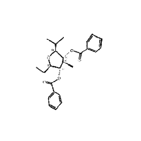 CC[C@H]1O[C@@H](C(C)C)[C@H](OC(=O)c2ccccc2)[C@@H](C)[C@@H]1OC(=O)c1ccccc1